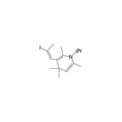 CC1=CC(C)(C)C(/C=C(\C)I)=C(C)N1C(C)C